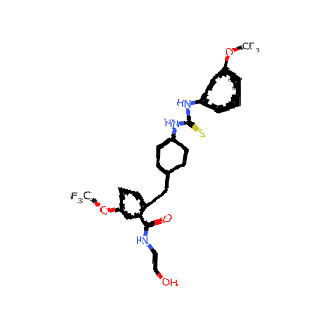 O=C(NCCO)c1cc(OC(F)(F)F)ccc1CC1CCC(NC(=S)Nc2cccc(OC(F)(F)F)c2)CC1